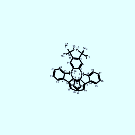 FC(F)(F)c1cc(-n2c3ccccc3c3ccccc32)c(-n2c3ccccc3c3ccccc32)cc1C(F)(F)F